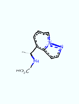 C[C@@H](NC(=O)O)c1cccn2nccc12